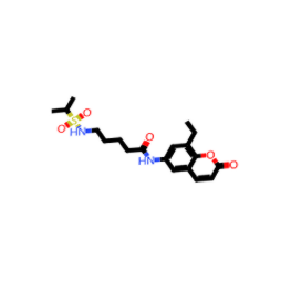 CCc1cc(NC(=O)CCCCNS(=O)(=O)C(C)C)cc2ccc(=O)oc12